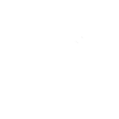 FC(F)(F)Oc1ccc(-c2ccc3c4c(ccc3c2Cc2ccccc2)C2=C(CCC=C2)C(c2cc3ccccc3nn2)C4)cc1